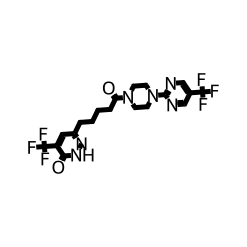 O=C(CCCCc1cc(C(F)(F)F)c(=O)[nH]n1)N1CCN(c2ncc(C(F)(F)F)cn2)CC1